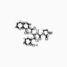 O=C([N]N(NC(=O)N1CCNC1=O)C(=O)c1ccnnc1O)c1cnc2cccnc2c1O